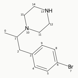 CC(Cc1ccc(Br)cc1)N1CCNCC1